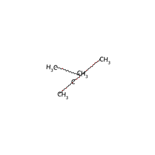 CCCCCCCCCCCCCCCCCCC[C](CCCCCCCCCCCCCCCCCCC)C(C)CCCCCCCCCCCCCCCCC